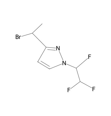 CC(Br)c1ccn(C(F)C(F)F)n1